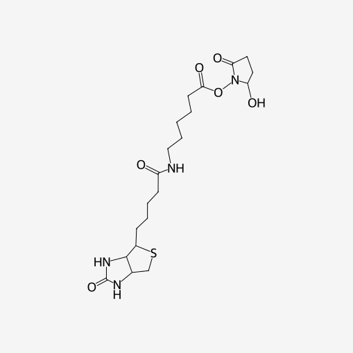 O=C(CCCCC1SCC2NC(=O)NC21)NCCCCCC(=O)ON1C(=O)CCC1O